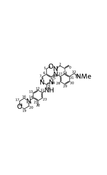 C=CCN1OCc2cnc(Nc3ccc(N4CCOCC4)c(C)c3)nc2N1c1cccc(CNC)c1